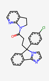 O=C(CCC1(c2ccc(Cl)cc2)c2ccccc2-c2nccn21)N1CCc2cccnc21